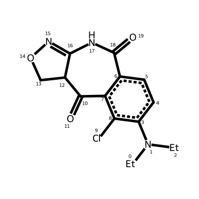 CCN(CC)c1ccc2c(c1Cl)C(=O)C1CON=C1NC2=O